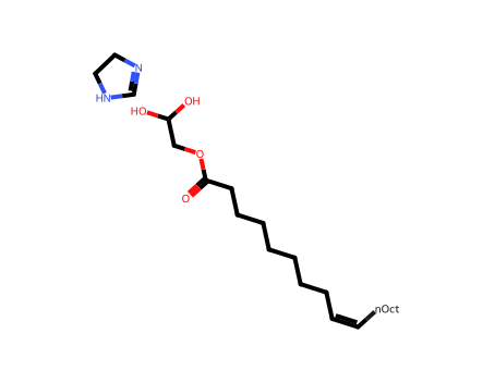 C1=NCCN1.CCCCCCCC/C=C\CCCCCCCC(=O)OCC(O)O